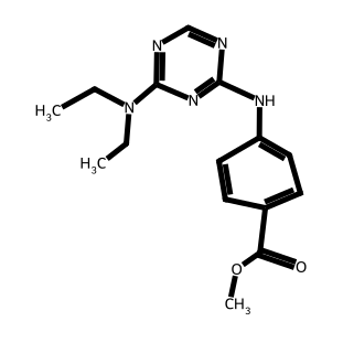 CCN(CC)c1ncnc(Nc2ccc(C(=O)OC)cc2)n1